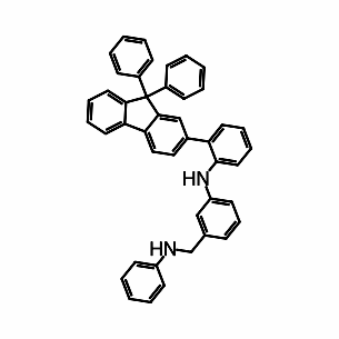 c1ccc(NCc2cccc(Nc3ccccc3-c3ccc4c(c3)C(c3ccccc3)(c3ccccc3)c3ccccc3-4)c2)cc1